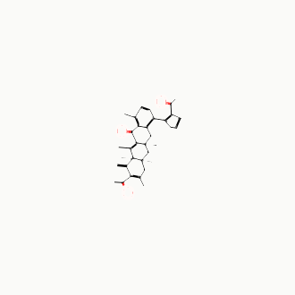 C=C1C(C(C)=O)=C(C)C[C@@]2(C)C[C@@]3(C)Cc4c(C5=C(C(C)=O)C=CC5)ccc(C)c4C(=O)C3=C(C)[C@@]12C